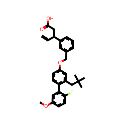 C=CC(CC(=O)O)c1cccc(COc2ccc(-c3cc(OC)ccc3F)c(CC(C)(C)C)c2)c1